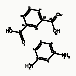 Nc1cccc(N)c1.O=C(O)c1cccc(C(=O)O)c1